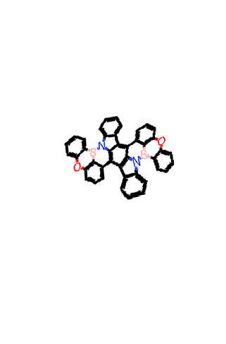 c1ccc2c(c1)Oc1cccc3c1B2n1c2ccccc2c2c4c5c(c-3c21)c1ccccc1n5B1c2ccccc2Oc2cccc-4c21